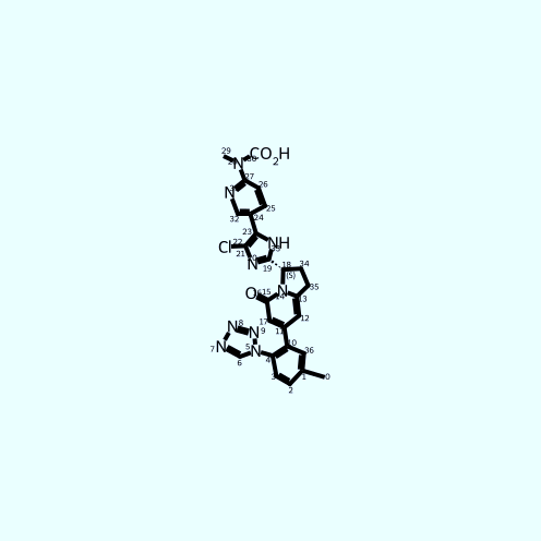 Cc1ccc(-n2cnnn2)c(-c2cc3n(c(=O)c2)[C@H](c2nc(Cl)c(-c4ccc(N(C)C(=O)O)nc4)[nH]2)CC3)c1